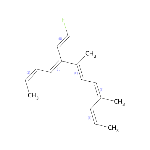 C\C=C/C=C(\C=C\F)C(/C)=C/C=C(C)\C=C/C